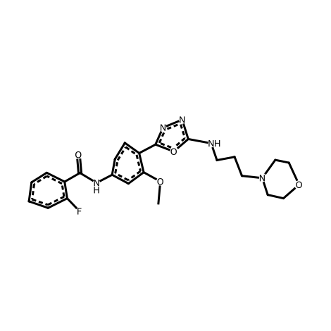 COc1cc(NC(=O)c2ccccc2F)ccc1-c1nnc(NCCCN2CCOCC2)o1